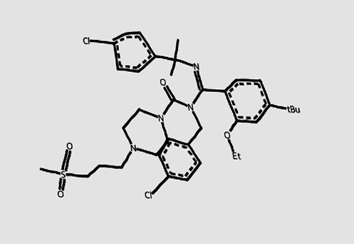 CCOc1cc(C(C)(C)C)ccc1/C(=N/C(C)(C)c1ccc(Cl)cc1)N(Cc1ccc(Cl)cc1)C(=O)N1CCN(CCCS(C)(=O)=O)CC1